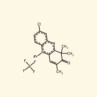 CC1=Cc2c(nc3cc(Cl)ccc3[n+]2C(C)C)C(C)(C)C1=O.F[B-](F)(F)F